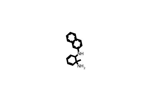 CC1(N)C=CC=CC1Nc1ccc2ccccc2c1